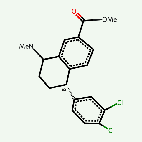 CNC1CC[C@@H](c2ccc(Cl)c(Cl)c2)c2ccc(C(=O)OC)cc21